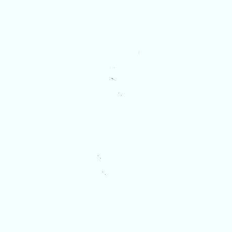 COc1cc(Oc2cc(Cl)cn([C@@H](CO)c3cc(F)c(F)c(F)c3)c2=O)ccc1-n1cnc(C)c1